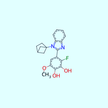 COc1cc(-c2nc3ccccc3n2C23CCC(C2)C3)c(F)c(O)c1O